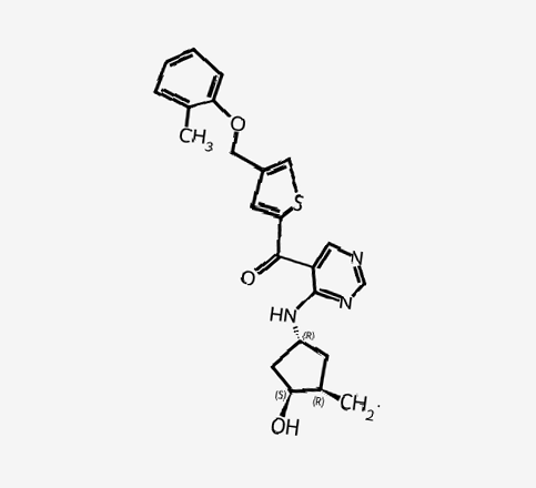 [CH2][C@@H]1C[C@@H](Nc2ncncc2C(=O)c2cc(COc3ccccc3C)cs2)C[C@@H]1O